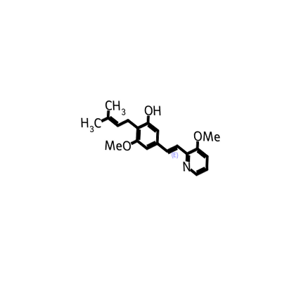 COc1cccnc1/C=C/c1cc(O)c(CC=C(C)C)c(OC)c1